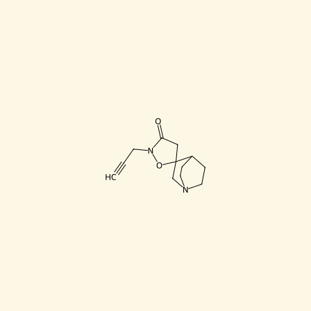 C#CCN1OC2(CC1=O)CN1CCC2CC1